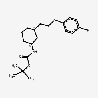 CC(C)(C)OC(=O)N[C@H]1CCC[C@@H](CCSc2ccc(F)cc2)C1